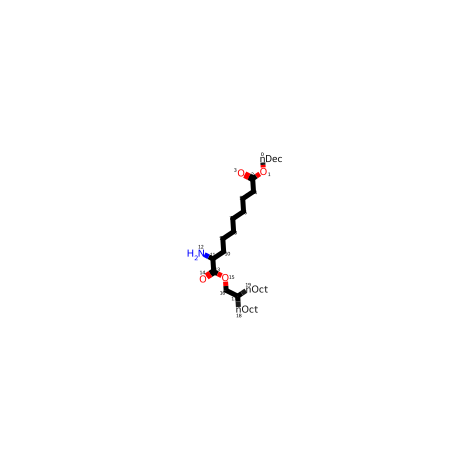 CCCCCCCCCCOC(=O)CCCCCCCC(N)C(=O)OCC(CCCCCCCC)CCCCCCCC